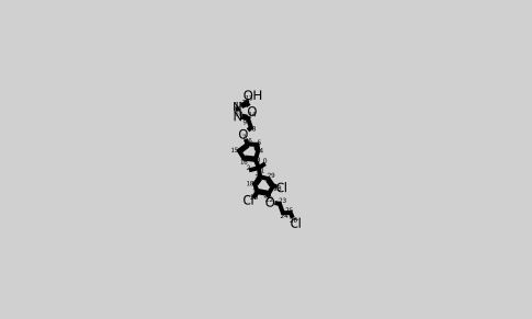 CC(C)(c1ccc(OCc2nnc(O)o2)cc1)c1cc(Cl)c(OCCCCl)c(Cl)c1